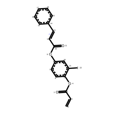 C=CC(=O)Oc1ccc(OC(=O)/C=C/c2ccccc2)cc1I